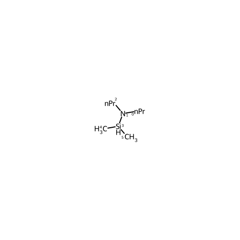 CCCN(CCC)[SiH](C)C